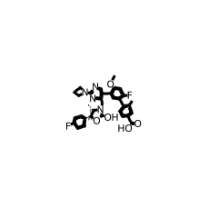 COc1cc(F)c(-c2ccc(C(=O)O)cc2C)cc1-c1cnc(N2CCC2)nc1CN1C(O)O[C@H](c2ccc(F)cc2)[C@@H]1C